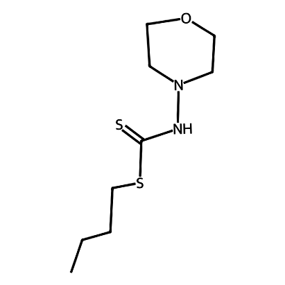 CCCCSC(=S)NN1CCOCC1